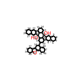 OC1(c2ccc3ccccc3c2)c2ccccc2C(O)(c2ccc3ccccc3c2)c2cc(-c3cc4c5ccccc5oc4c4ccccc34)ccc21